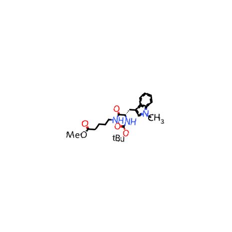 COC(=O)CCCCNC(=O)[C@H](Cc1cn(C)c2ccccc12)NC(=O)OC(C)(C)C